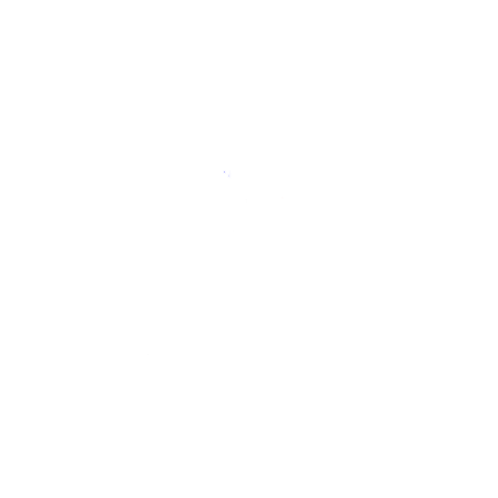 CC(Oc1ccccc1)c1cc(C(=O)N2CCOCC2)ccc1-c1ccccc1